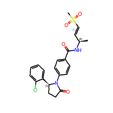 C[C@H](/C=C/S(C)(=O)=O)NC(=O)c1ccc(N2C(=O)CC[C@H]2c2ccccc2Cl)cc1